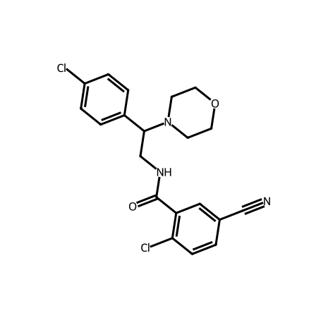 N#Cc1ccc(Cl)c(C(=O)NCC(c2ccc(Cl)cc2)N2CCOCC2)c1